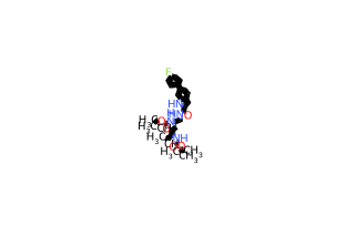 CC(C)C(CC[C@@H](CNC(=O)c1cc2ccc(-c3ccc(F)cc3)cc2[nH]1)NC(=O)OC(C)(C)C)NC(=O)OC(C)(C)C